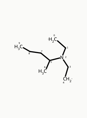 [CH2]CN(C[CH2])C(C)CCC